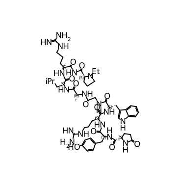 CCN1CCC[C@H]1C(=O)NC(=O)[C@H](CCCNC(=N)N)NC(=O)[C@H](CC(C)C)NC(=O)[C@@H](C)NC(=O)CNC(=O)[C@H](Cc1c[nH]c2ccccc12)NC(=O)[C@H](CCCNC(=N)N)NC(=O)[C@H](Cc1ccc(O)cc1)NC(=O)[C@@H]1CCC(=O)N1